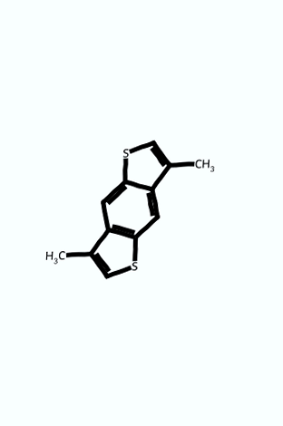 Cc1csc2cc3c(C)csc3cc12